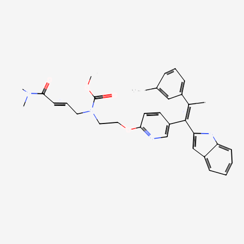 CC/C(=C(/c1ccc(OCCN(C/C=C/C(=O)N(C)C)C(=O)OC(C)(C)C)nc1)c1cc2ccccc2[nH]1)c1cccc(OC)c1